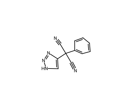 N#CC(C#N)(c1ccccc1)c1c[nH]nn1